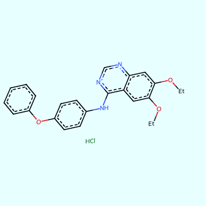 CCOc1cc2ncnc(Nc3ccc(Oc4ccccc4)cc3)c2cc1OCC.Cl